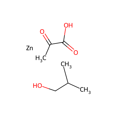 CC(=O)C(=O)O.CC(C)CO.[Zn]